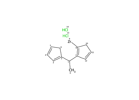 CC(C1=CC=CC1)C1=[C]([Zr])CC=C1.Cl.Cl